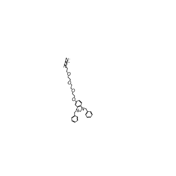 [N-]=[N+]=NCCOCCOCCOCCOc1ccc2c(c1)N(Cc1ccccc1)CN2Cc1ccccc1